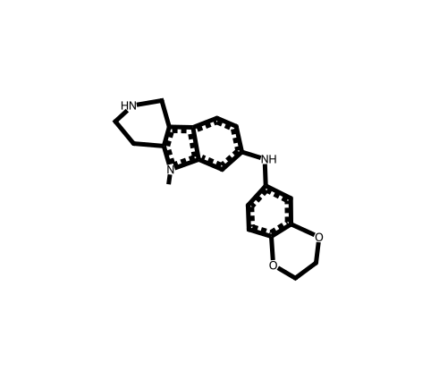 Cn1c2c(c3ccc(Nc4ccc5c(c4)OCCO5)cc31)CNCC2